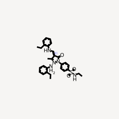 CCNS(=O)(=O)c1ccc(N2N=C(C)/C(=C\Nc3ccccc3CC)C2=O)cc1.CCc1ccccc1N